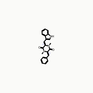 Cn1c(=O)/c(=C/c2c[nH]c3ccccc23)n(C)c(=O)/c1=C/c1ccccc1